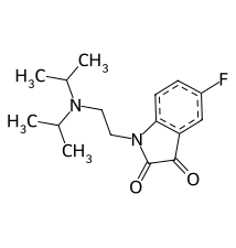 CC(C)N(CCN1C(=O)C(=O)c2cc(F)ccc21)C(C)C